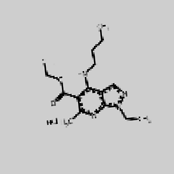 CCCCNc1c(C(=O)OCC)c(C)nc2c1cnn2CC.Cl